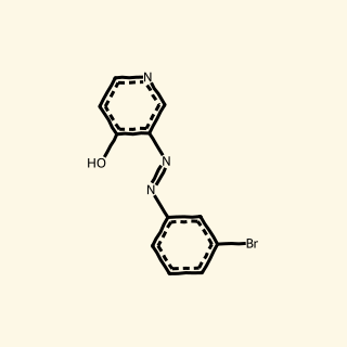 Oc1ccncc1/N=N/c1cccc(Br)c1